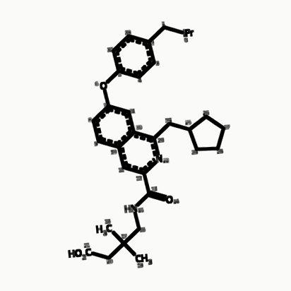 CC(C)Cc1ccc(Oc2ccc3cc(C(=O)NCC(C)(C)CC(=O)O)nc(CC4CCCC4)c3c2)cc1